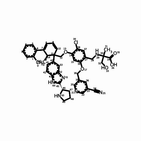 Cc1ccccc1C1=CC=CC(COc2cc(OCc3cncc(C#N)c3)c(CNC(C)(CO)C(=O)O)cc2Cl)(c2ccc3[nH]c([C@@H]4CCCN4)nc3c2)C1C